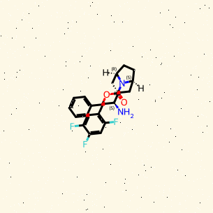 N[C@@H](Cc1cc(F)c(F)cc1F)[C@@H]1C[C@H]2CC[C@@H](C1)N2C(=O)OCc1ccccc1